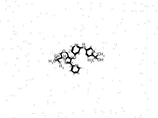 CC(C)(O)c1ccc(Nc2cc(Oc3c(-c4ccccn4)n[nH]c3COCC[Si](C)(C)C)ccn2)cn1